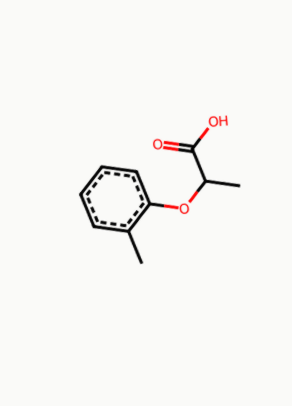 Cc1ccccc1OC(C)C(=O)O